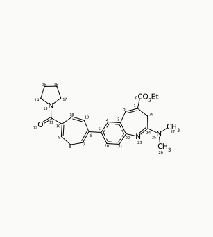 CCOC(=O)C1=Cc2cc(C3=CCC=C(C(=O)N4CCCC4)C=C3)ccc2N=C(N(C)C)C1